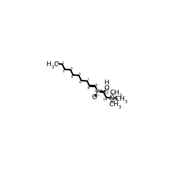 CCCCCCCCC=C[P+]([O-])=C(O)C[N+](C)(C)C